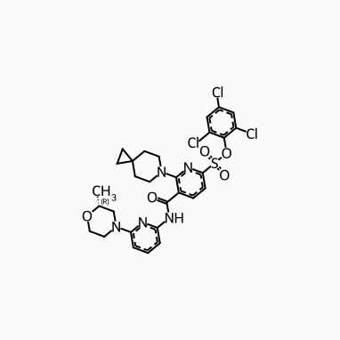 C[C@@H]1CN(c2cccc(NC(=O)c3ccc(S(=O)(=O)Oc4c(Cl)cc(Cl)cc4Cl)nc3N3CCC4(CC3)CC4)n2)CCO1